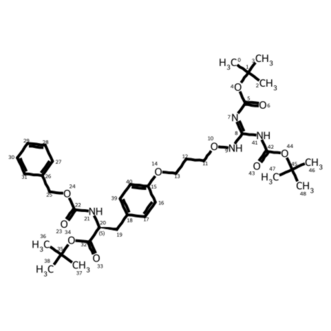 CC(C)(C)OC(=O)N=C(NOCCCOc1ccc(C[C@H](NC(=O)OCc2ccccc2)C(=O)OC(C)(C)C)cc1)NC(=O)OC(C)(C)C